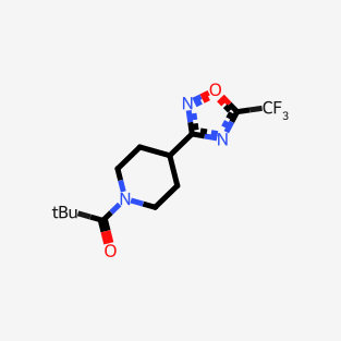 CC(C)(C)C(=O)N1CCC(c2noc(C(F)(F)F)n2)CC1